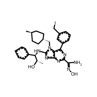 C[C@H](O)[C@H](Nc1nc2nc(/C(N)=N/O)nc(-c3cccc(CI)c3)c2n1C[C@H]1CC[C@H](C)CC1)c1ccccc1